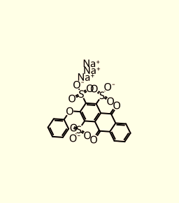 O=C1c2ccccc2C(=O)c2c1c(S(=O)(=O)[O-])c(Oc1ccccc1)c(S(=O)(=O)[O-])c2S(=O)(=O)[O-].[Na+].[Na+].[Na+]